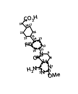 COc1nc(N)c2c(n1)CCN(c1ccc(C3CCC(CC(=O)O)CC3)c(F)c1)C2=O